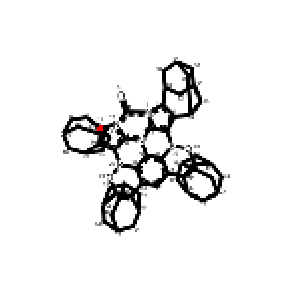 O=c1n2c3c(c4c2n2c5c(c6c(n15)C1CC5CC(CC6C5)C1)B1OC5=C(c6cc7c(c-2c61)B4OC1=C7C2CC4CC(CC1C4)C2)C1CC2CC(CC5C2)C1)C1CC2CC(C1)CC3C2